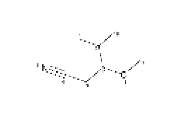 COC(CC#N)C(C)C